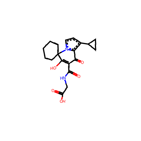 O=C(O)CNC(=O)C1=C(O)C2(CCCCC2)n2ccc(C3CC3)c2C1=O